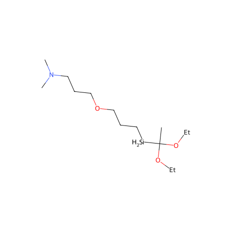 CCOC(C)(OCC)[SiH2]CCCOCCCN(C)C